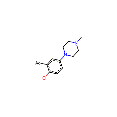 CC(=O)c1cc(N2CCN(C)CC2)ccc1[O]